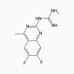 Cc1nc(NC(=N)N)nc2cc(F)c(F)cc12